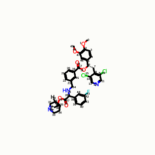 COc1ccc([C@H](Cc2c(Cl)cncc2Cl)OC(=O)c2cccc(CNC(C(=O)O[C@H]3CN4CCC3CC4)c3cccc(F)c3)c2)cc1OC